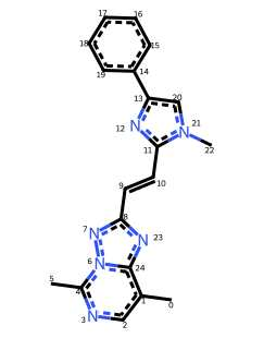 Cc1cnc(C)n2nc(C=Cc3nc(-c4ccccc4)cn3C)nc12